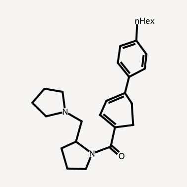 CCCCCCc1ccc(C2=CC=C(C(=O)N3CCCC3CN3CCCC3)CC2)cc1